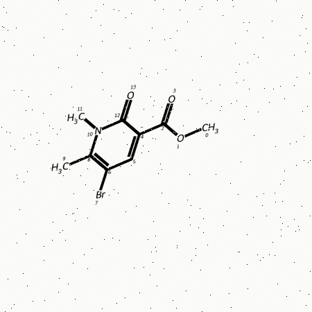 COC(=O)c1cc(Br)c(C)n(C)c1=O